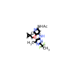 CC(=O)Nc1cc(Nc2cc(C)nc(C(C)(F)F)n2)c(OCC2(C(F)(F)F)CC2)cn1